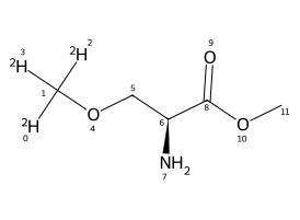 [2H]C([2H])([2H])OC[C@H](N)C(=O)OC